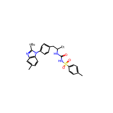 CCCCc1nc2cc(C)ccc2n1-c1ccc(CC(CC)NC(=O)NS(=O)(=O)c2ccc(C)cc2)cc1